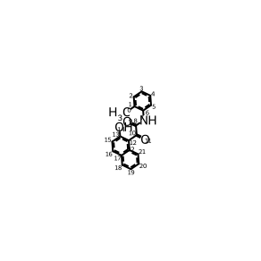 Cc1ccccc1NC(=O)C(=O)c1c(O)ccc2ccccc12